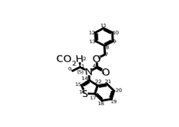 C[C@@H](C(=O)O)N(C(=O)OCc1ccccc1)c1csc2ccccc12